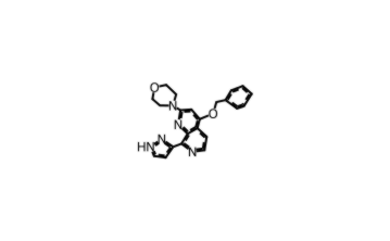 c1ccc(COc2cc(N3CCOCC3)nc3c(-c4cc[nH]n4)nccc23)cc1